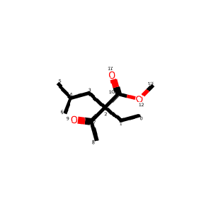 CCC(CC(C)C)(C(C)=O)C(=O)OC